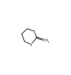 C=C1SCCCS1